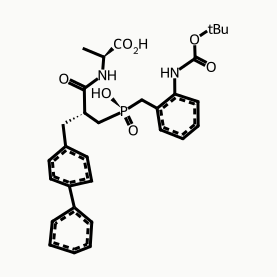 C[C@H](NC(=O)[C@@H](Cc1ccc(-c2ccccc2)cc1)C[P@](=O)(O)Cc1ccccc1NC(=O)OC(C)(C)C)C(=O)O